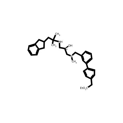 CCOC(=O)Cc1ccc(-c2cccc(CN(C)C[C@H](O)CNC(C)(C)CC3Cc4ccccc4C3)c2)cc1